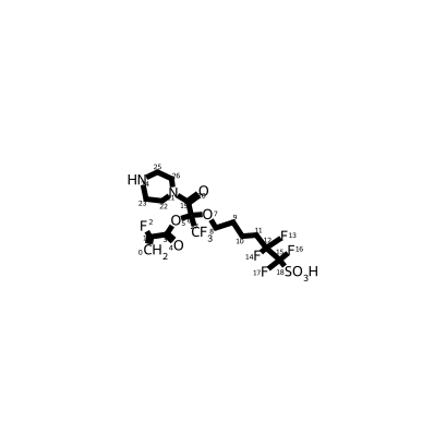 C=C(F)C(=O)OC(OCCCCC(F)(F)C(F)(F)S(=O)(=O)O)(C(=O)N1CCNCC1)C(F)(F)F